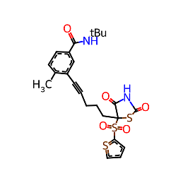 Cc1ccc(C(=O)NC(C)(C)C)cc1C#CCCCC1(S(=O)(=O)c2cccs2)SC(=O)NC1=O